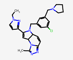 CCn1ccc(C2=CC3C(C=Cc4nnc(C)n43)N2Cc2cc(Cl)cc(CN3CCCC3)c2)n1